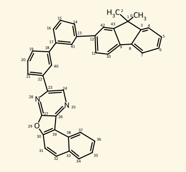 CC1(C)c2ccccc2-c2ccc(-c3cccc(-c4cccc(-c5cnc6c(n5)oc5ccc7ccccc7c56)c4)c3)cc21